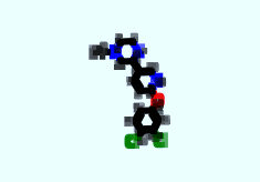 CC(C)N1CC[N]C(c2ccc(Oc3ccc(Cl)c(Cl)c3)nc2)C1